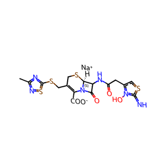 Cc1nsc(SCC2=C(C(=O)[O-])N3C(=O)C(NC(=O)Cc4csc(=N)n4O)[C@@H]3SC2)n1.[Na+]